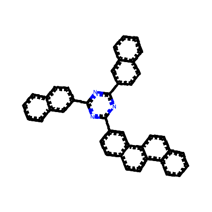 c1ccc2cc(-c3nc(-c4ccc5ccccc5c4)nc(-c4ccc5ccc6c7ccccc7ccc6c5c4)n3)ccc2c1